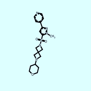 Cn1nc(-c2ccncc2)cc1S(=O)(=O)N1CC2(CN(C3CCOCC3)C2)C1